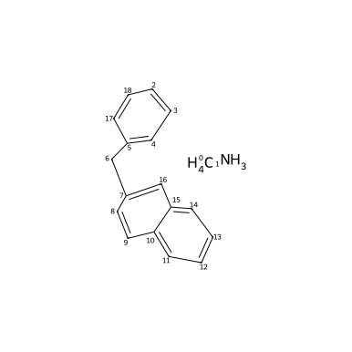 C.N.c1ccc(Cc2ccc3ccccc3c2)cc1